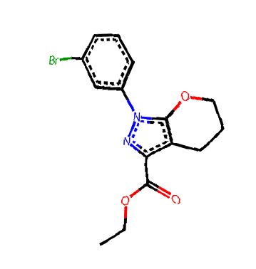 CCOC(=O)c1nn(-c2cccc(Br)c2)c2c1CCCO2